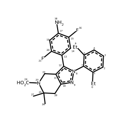 CCc1cccc(CC)c1-n1nc2c(c1-c1cc(F)c(N)cc1F)CN(C(=O)O)C(C)(C)C2